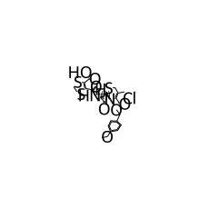 COc1ccc(COC(=O)C2=C(CCl)CS[C@@H]3[C@H](NC(=O)C4=C(C(=O)O)SCCS4)C(=O)N23)cc1